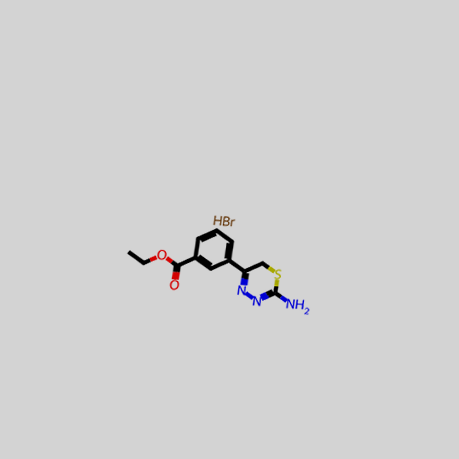 Br.CCOC(=O)c1cccc(C2=NN=C(N)SC2)c1